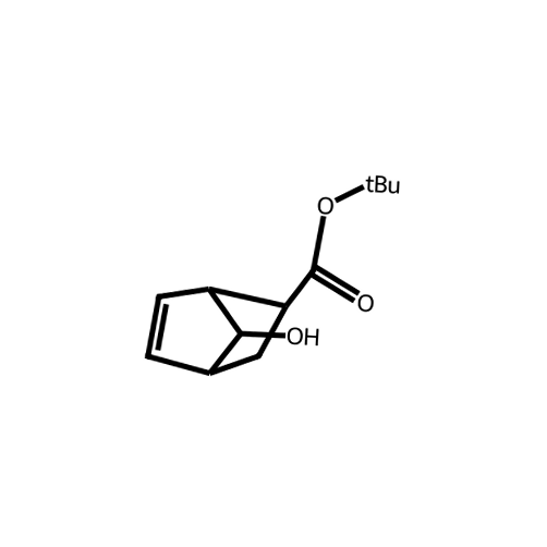 CC(C)(C)OC(=O)C1CC2C=CC1C2O